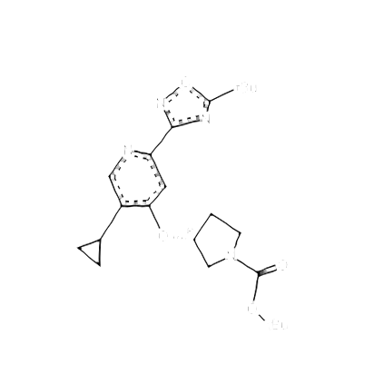 CC(C)(C)OC(=O)N1CC[C@@H](Oc2cc(-c3noc(C(C)(C)C)n3)ncc2C2CC2)C1